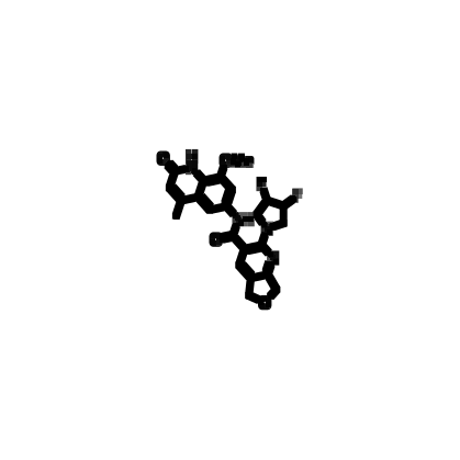 COc1cc(NC(=O)c2cc3c(nc2N2CC(F)C(F)C2)COC3)cc2c(C)cc(=O)[nH]c12